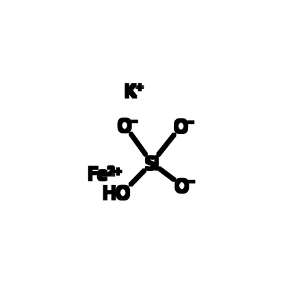 [Fe+2].[K+].[O-][Si]([O-])([O-])O